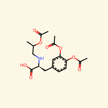 CC(=O)Oc1ccc(C[C@H](NCC(C)OC(C)=O)C(=O)O)cc1OC(C)=O